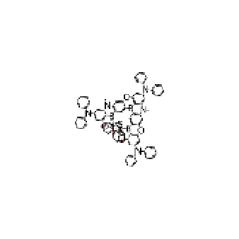 CN1c2cc3c(cc2B2c4cc5c(cc4Oc4cc(N(c6ccccc6)c6ccccc6)cc1c42)N(C)c1cc(N(c2ccccc2)c2ccccc2)cc2c1B5c1sc4ccccc4c1O2)B1c2sc4ccccc4c2Oc2cc(N(c4ccccc4)c4ccccc4)cc(c21)O3